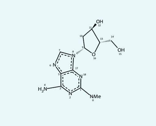 CNc1nc(N)c2ncn([C@@H]3C[C@@H](O)[C@H](CO)O3)c2n1